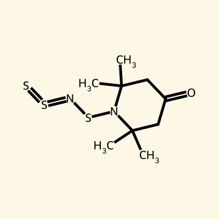 CC1(C)CC(=O)CC(C)(C)N1SN=S=S